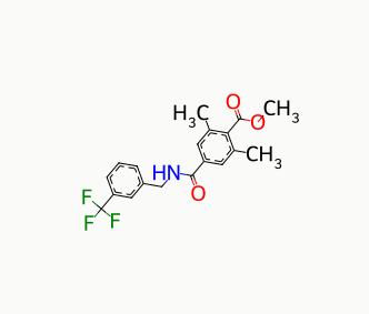 COC(=O)c1c(C)cc(C(=O)NCc2cccc(C(F)(F)F)c2)cc1C